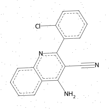 N#Cc1c(-c2ccccc2Cl)nc2ccccc2c1N